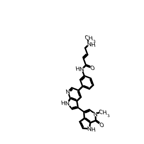 CNC/C=C/C(=O)Nc1cccc(-c2cnc3[nH]cc(-c4cn(C)c(=O)c5[nH]ccc45)c3c2)c1